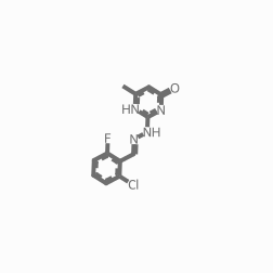 Cc1cc(=O)nc(N/N=C/c2c(F)cccc2Cl)[nH]1